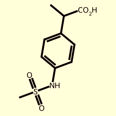 CC(C(=O)O)c1ccc(NS(C)(=O)=O)cc1